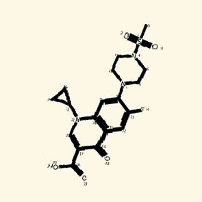 CS(=O)(=O)N1CCN(c2cc3c(cc2F)c(=O)c(C(=O)O)cn3C2CC2)CC1